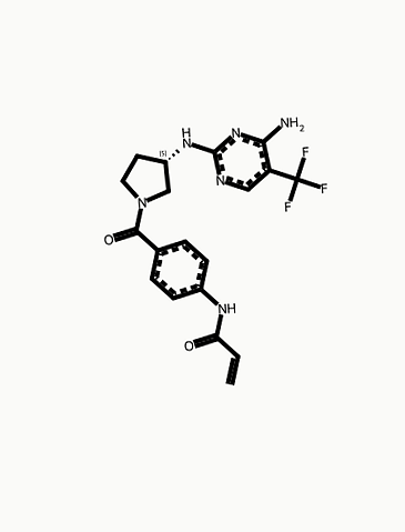 C=CC(=O)Nc1ccc(C(=O)N2CC[C@H](Nc3ncc(C(F)(F)F)c(N)n3)C2)cc1